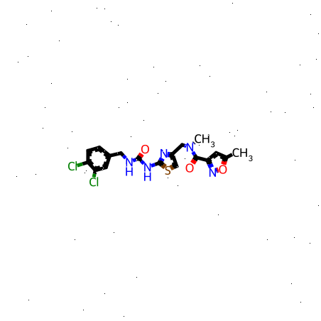 Cc1cc(C(=O)N(C)Cc2csc(NC(=O)NCc3ccc(Cl)c(Cl)c3)n2)no1